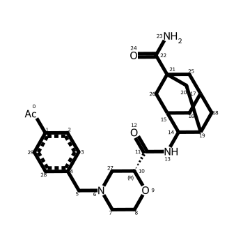 CC(=O)c1ccc(CN2CCO[C@@H](C(=O)NC3C4CC5CC3CC(C(N)=O)(C5)C4)C2)cc1